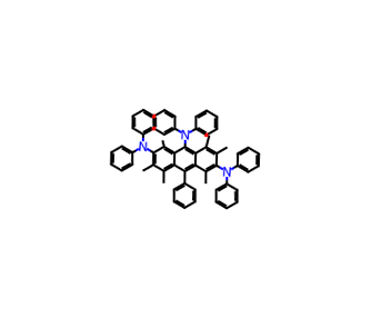 Cc1c(N(c2ccccc2)c2ccccc2)c(C)c2c(N(c3ccccc3)c3ccccc3)c3c(C)c(C)c(N(c4ccccc4)c4ccccc4)c(C)c3c(-c3ccccc3)c2c1C